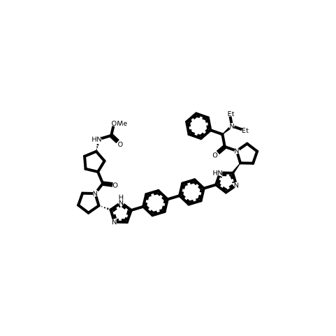 CCN(CC)[C@@H](C(=O)N1CCC[C@H]1c1ncc(-c2ccc(-c3ccc(-c4cnc([C@@H]5CCCN5C(=O)C5CC[C@H](NC(=O)OC)C5)[nH]4)cc3)cc2)[nH]1)c1ccccc1